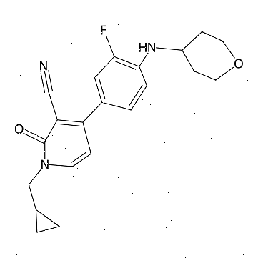 N#Cc1c(-c2ccc(NC3CCOCC3)c(F)c2)ccn(CC2CC2)c1=O